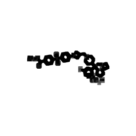 CNC(=O)c1ccc(S(=O)(=O)c2ccc(N3CC(CN4CCC([C@@](CN5CCC5)(c5cccc(F)c5)[C@H]5CCC[C@@H]5NC(=O)O)CC4)C3)cc2)cc1